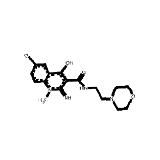 Cn1c(=N)c(C(=O)NCCN2CCOCC2)c(O)c2cc(Cl)ccc21